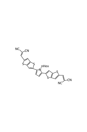 CCCCCCn1c(-c2cc3sc(C=C(C#N)C#N)cc3s2)ccc1-c1cc2sc(C=C(C#N)C#N)cc2s1